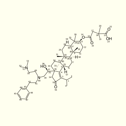 CC(C)C1=C2[C@H]3CC[C@@H]4[C@@]5(C)CC[C@H](OC(=O)CC(C)(C)C(=O)O)C(C)(C)[C@@H]5CC[C@@]4(C)[C@]3(C)CCC2([C@H](O)CN(CCc2ccccc2)CCN(C)C)CC1=O